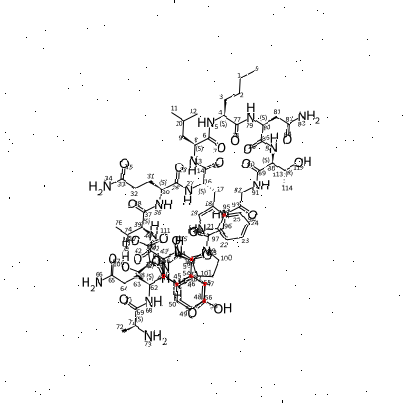 CCCC[C@H](NC(=O)[C@H](CC(C)C)NC(=O)[C@H](Cc1c[nH]c2ccccc12)NC(=O)[C@H](CCC(N)=O)NC(=O)[C@@H](NC(=O)[C@H](Cc1ccccc1)NC(=O)[C@H](CC(=O)O)NC(=O)[C@H](CCC(N)=O)NC(=O)[C@H](C)N)C(C)C)C(=O)N[C@@H](CC(N)=O)C(=O)N[C@H](C(=O)NCC(=O)NCC(=O)N1CCC[C@H]1C(=O)N[C@@H](CO)C(=O)O)[C@@H](C)O